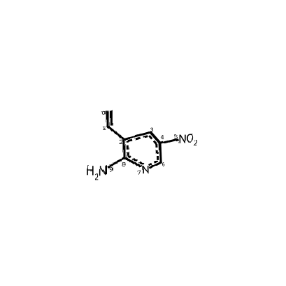 C=Cc1cc([N+](=O)[O-])cnc1N